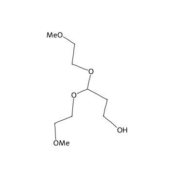 COCCOC(CCO)OCCOC